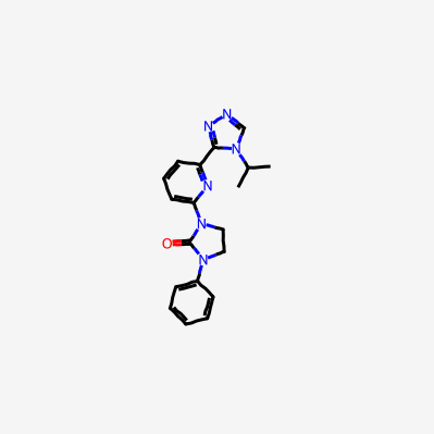 CC(C)n1cnnc1-c1cccc(N2CCN(c3ccccc3)C2=O)n1